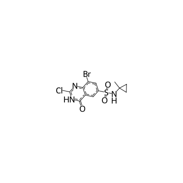 CC1(NS(=O)(=O)c2cc(Br)c3nc(Cl)[nH]c(=O)c3c2)CC1